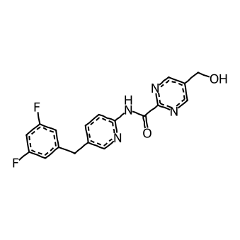 O=C(Nc1ccc(Cc2cc(F)cc(F)c2)cn1)c1ncc(CO)cn1